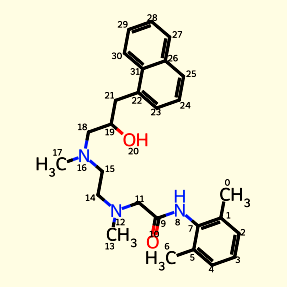 Cc1cccc(C)c1NC(=O)CN(C)CCN(C)CC(O)Cc1cccc2ccccc12